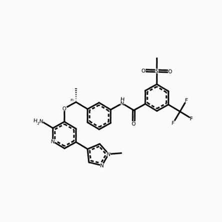 C[C@@H](Oc1cc(-c2cnn(C)c2)cnc1N)c1cccc(NC(=O)c2cc(C(F)(F)F)cc(S(C)(=O)=O)c2)c1